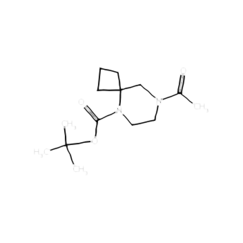 CC(=O)N1CCN(C(=O)OC(C)(C)C)C2(CCC2)C1